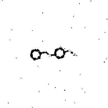 FC(F)(F)Oc1ccc(OCc2ccccc2)cc1